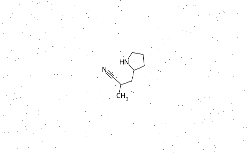 CC(C#N)CC1CCCN1